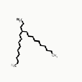 [CH2]CCC(CCCCCCCCC)CCCCCCCCCC